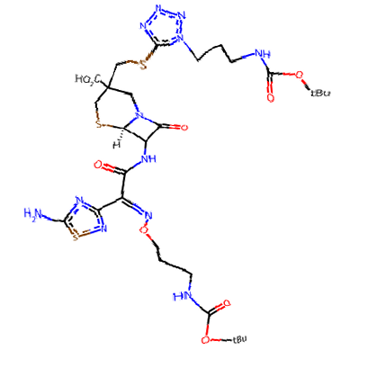 CC(C)(C)OC(=O)NCCCON=C(C(=O)NC1C(=O)N2CC(CSc3nnnn3CCCNC(=O)OC(C)(C)C)(C(=O)O)CS[C@H]12)c1nsc(N)n1